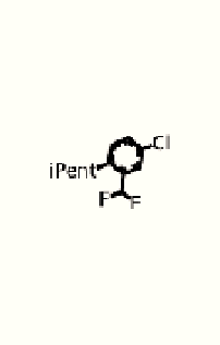 CCCC(C)c1ccc(Cl)cc1C(F)F